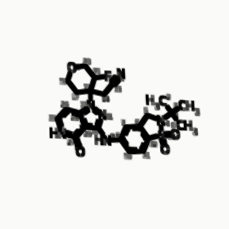 CC(C)(C)N1Cc2cc(Nc3nn(C4(CC#N)CCOCC4F)c4cc[nH]c(=O)c34)ccc2S1(=O)=O